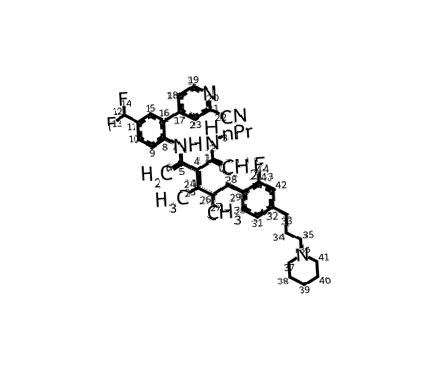 C=C(NCCC)/C(C(=C)Nc1ccc(C(F)F)cc1-c1ccnc(C#N)c1)=C(/C)C(C)Cc1ccc(CCCN2CCCCC2)cc1F